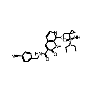 CCN(CC)S(=N)(=O)C1(COc2nccc3cc(C(=O)NCc4ccc(C#N)cc4)c(=O)n(C)c23)CC1